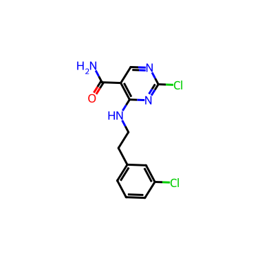 NC(=O)c1cnc(Cl)nc1NCCc1cccc(Cl)c1